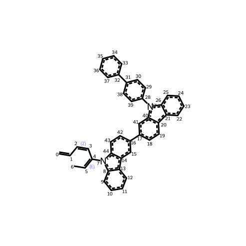 C=C/C=C\C(=C/C)n1c2ccccc2c2cc(-c3ccc4c5ccccc5n(-c5ccc(-c6ccccc6)cc5)c4c3)ccc21